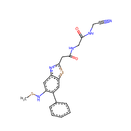 CSNc1cc2nc(CC(=O)NCC(=O)NCC#N)sc2cc1-c1ccccc1